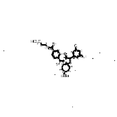 CC(C)[C@@H](c1ccc(C(=O)NCCC(=O)O)cc1)N1C(=O)C(c2cc(Cl)cc(Cl)c2)=NC12CCC(C(C)(C)C)CC2